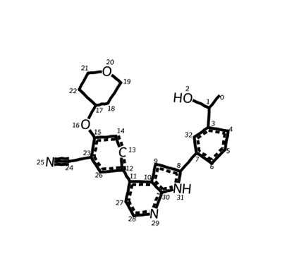 CC(O)c1cccc(-c2cc3c(-c4ccc(OC5CCOCC5)c(C#N)c4)ccnc3[nH]2)c1